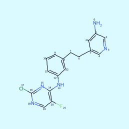 Nc1cncc(CCc2cccc(Nc3nc(Cl)ncc3F)c2)c1